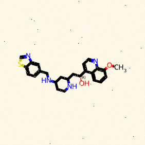 COc1cccc2c([C@H](O)CC3CC(NCc4ccc5scnc5c4)CCN3)ccnc12